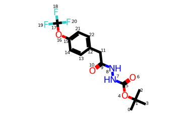 CC(C)(C)OC(=O)NNC(=O)Cc1ccc(OC(F)(F)F)cc1